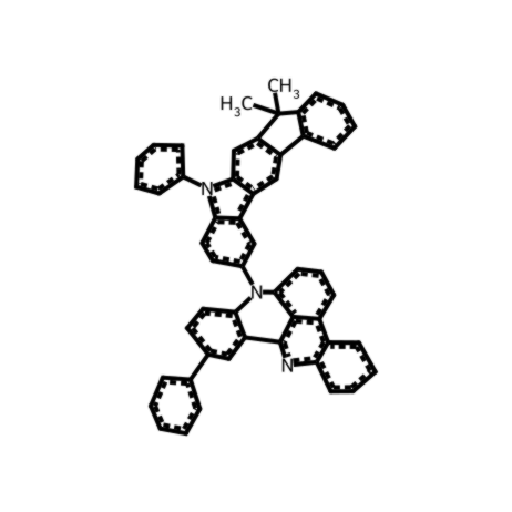 CC1(C)c2ccccc2-c2cc3c4cc(N5c6ccc(-c7ccccc7)cc6-c6nc7ccccc7c7cccc5c67)ccc4n(-c4ccccc4)c3cc21